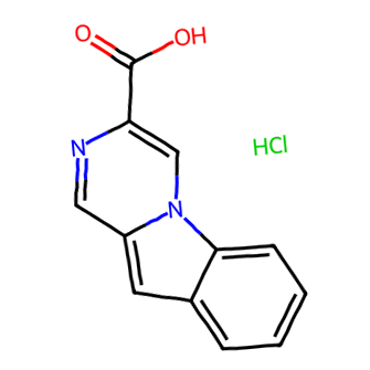 Cl.O=C(O)c1cn2c(cn1)cc1ccccc12